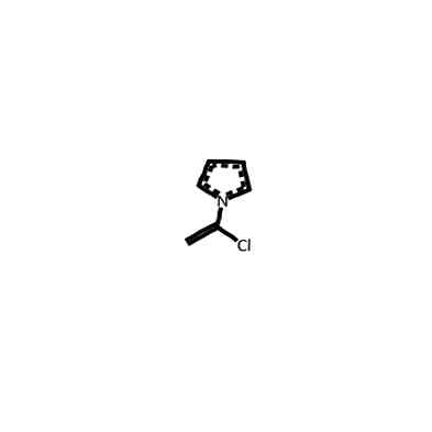 C=C(Cl)n1cccc1